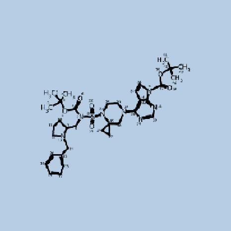 CC(C)(C)OC(=O)N(CC1CCCN1Cc1ccccc1)S(=O)(=O)N1CCN(c2ncnc3c2ccn3C(=O)OC(C)(C)C)CC12CC2